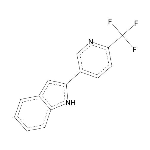 FC(F)(F)c1ccc(-c2cc3c[c]ccc3[nH]2)cn1